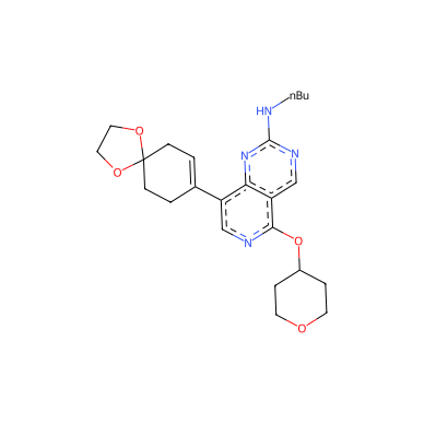 CCCCNc1ncc2c(OC3CCOCC3)ncc(C3=CCC4(CC3)OCCO4)c2n1